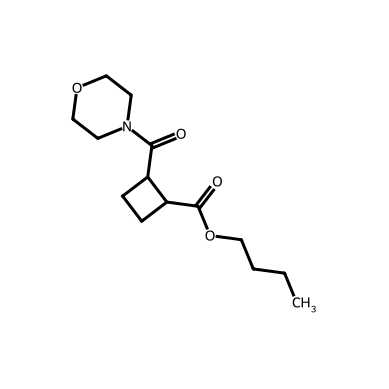 CCCCOC(=O)C1CCC1C(=O)N1CCOCC1